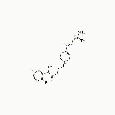 C=C(CCC[C@@H]1CC=C(/C(C)=C/C=C(/N)CC)CC1)C(CC)c1cc(C)ccc1F